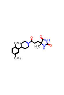 COc1ccc(OC)c(C2CCN(C(=O)CCC3(C)NC(=O)NC3=O)CC2)c1